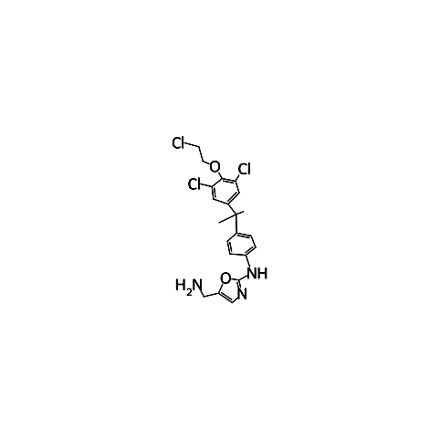 CC(C)(c1ccc(Nc2ncc(CN)o2)cc1)c1cc(Cl)c(OCCCl)c(Cl)c1